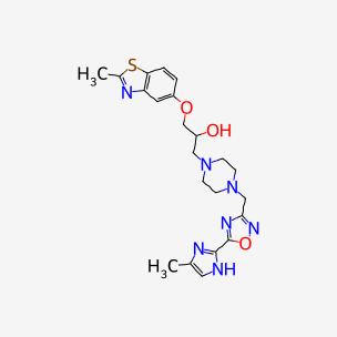 Cc1c[nH]c(-c2nc(CN3CCN(CC(O)COc4ccc5sc(C)nc5c4)CC3)no2)n1